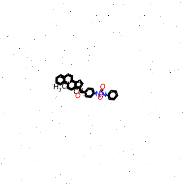 C[C@]12CCC3C(CCC4=CCCC[C@@]43C)C1CCC2C(=O)C1CCC(n2on(C3CCCCC3)c2=O)CC1